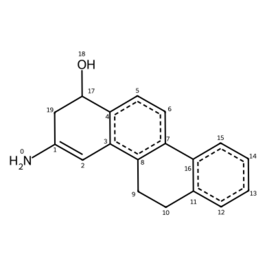 NC1=Cc2c(ccc3c2CCc2ccccc2-3)C(O)C1